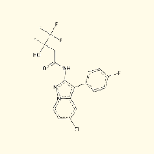 C[C@@](O)(CC(=O)Nc1nn2ccc(Cl)cc2c1-c1ccc(F)cc1)C(F)(F)F